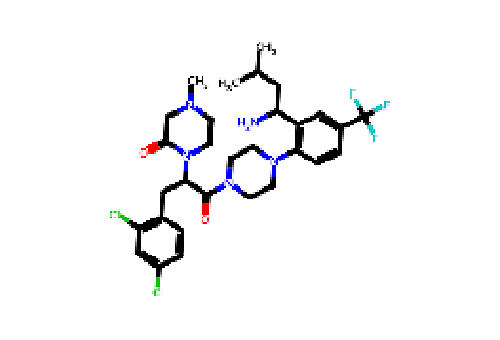 CC(C)CC(N)c1cc(C(F)(F)F)ccc1N1CCN(C(=O)C(Cc2ccc(Cl)cc2Cl)N2CCN(C)CC2=O)CC1